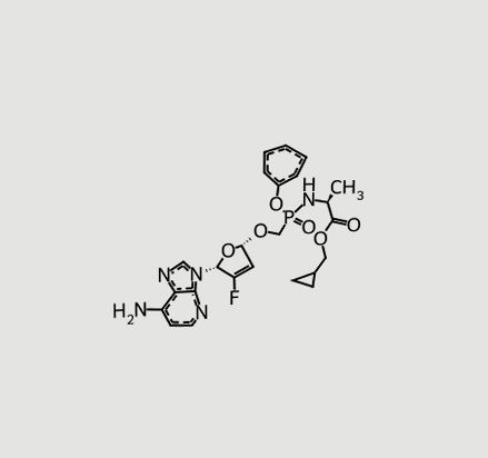 C[C@H](NP(=O)(CO[C@@H]1C=C(F)[C@H](n2cnc3c(N)ccnc32)O1)Oc1ccccc1)C(=O)OCC1CC1